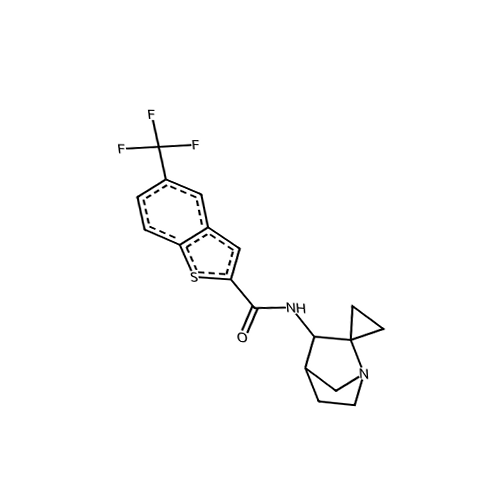 O=C(NC1C2CCN(C2)C12CC2)c1cc2cc(C(F)(F)F)ccc2s1